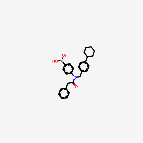 O=C(Cc1ccccc1)N(Cc1ccc(C2CCCCC2)cc1)c1ccc(B(O)O)cc1